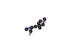 [C-]#[N+]c1ccc2c3cc(-c4ccc(-c5c6ccccc6c(-c6cccc(-c7nc8ccccc8n7-c7ccccc7)c6)c6ccccc56)cc4)ccc3c3nc4ccccc4n3c2c1